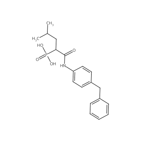 CC(C)CC(C(=O)Nc1ccc(Cc2ccccc2)cc1)P(=O)(O)O